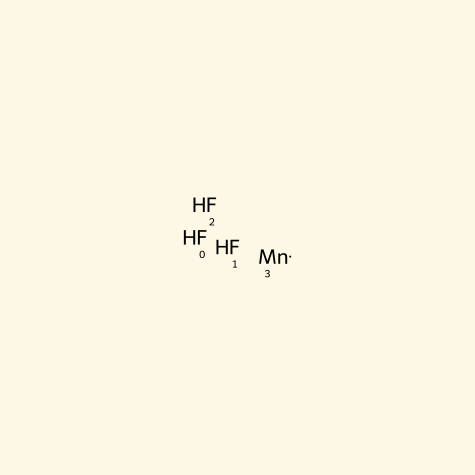 F.F.F.[Mn]